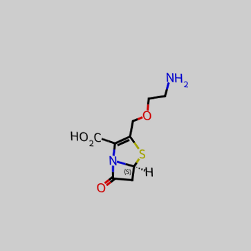 NCCOCC1=C(C(=O)O)N2C(=O)C[C@@H]2S1